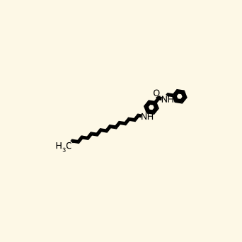 CCCCCCCCCCCCCCCCNc1ccc(C(=O)NCc2ccccc2)cc1